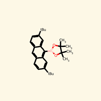 CC(C)(C)c1ccc2cc3ccc(C(C)(C)C)cc3c(B3OC(C)(C)C(C)(C)O3)c2c1